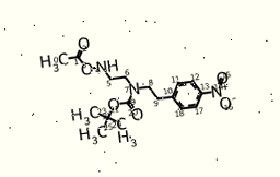 CC(=O)ONCCN(CCc1ccc([N+](=O)[O-])cc1)C(=O)OC(C)(C)C